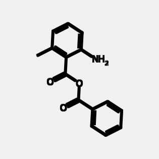 Cc1cccc(N)c1C(=O)OC(=O)c1ccccc1